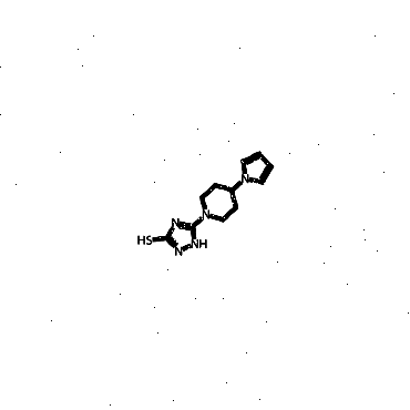 Sc1n[nH]c(N2CCC(n3cccc3)CC2)n1